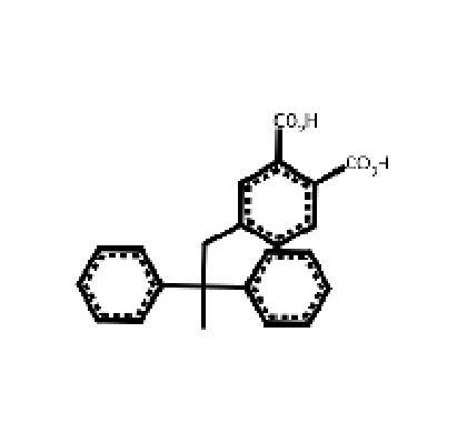 CC(Cc1ccc(C(=O)O)c(C(=O)O)c1)(c1ccccc1)c1ccccc1